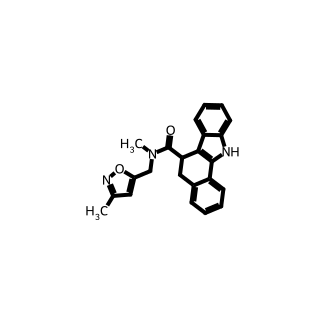 Cc1cc(CN(C)C(=O)C2Cc3ccccc3-c3[nH]c4ccccc4c32)on1